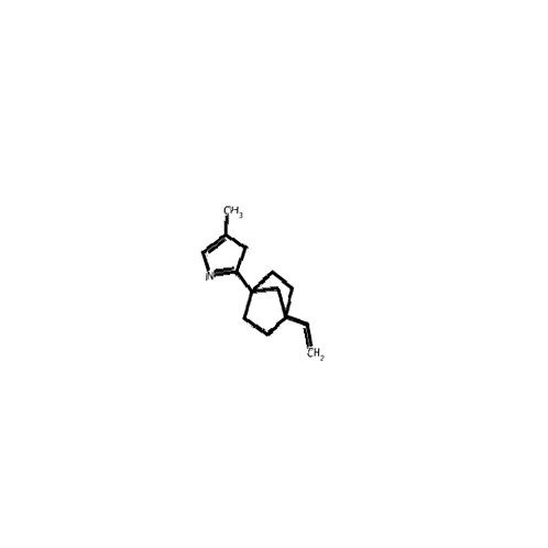 C=CC12CCC(C3=NC=C(C)C3)(CC1)C2